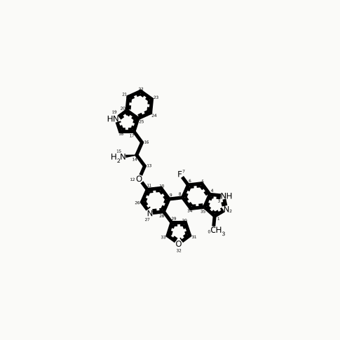 Cc1n[nH]c2cc(F)c(-c3cc(OC[C@@H](N)Cc4c[nH]c5ccccc45)cnc3-c3ccoc3)cc12